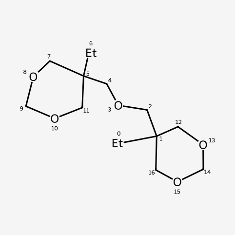 CCC1(COCC2(CC)COCOC2)COCOC1